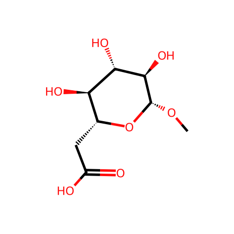 CO[C@@H]1O[C@H](CC(=O)O)[C@@H](O)[C@H](O)[C@H]1O